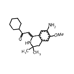 COc1cc2c(cc1N)C(=CC(=O)C1CCCCC1)NC(C)(C)C2